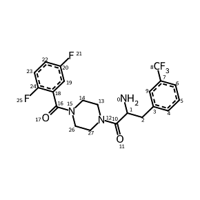 NC(Cc1cccc(C(F)(F)F)c1)C(=O)N1CCN(C(=O)c2cc(F)ccc2F)CC1